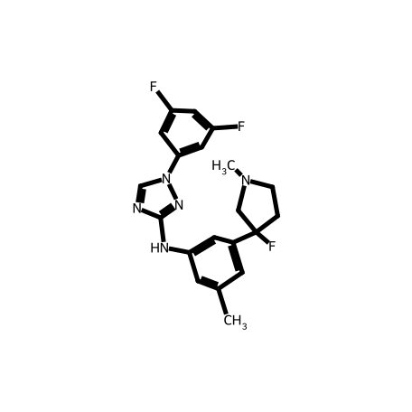 Cc1cc(Nc2ncn(-c3cc(F)cc(F)c3)n2)cc(C2(F)CCN(C)C2)c1